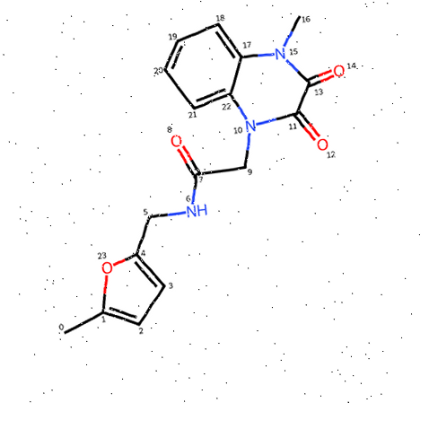 Cc1ccc(CNC(=O)Cn2c(=O)c(=O)n(C)c3ccccc32)o1